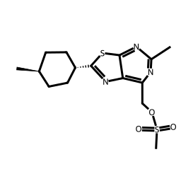 Cc1nc(COS(C)(=O)=O)c2nc([C@H]3CC[C@H](C)CC3)sc2n1